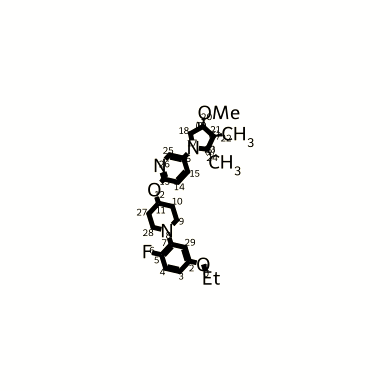 CCOc1ccc(F)c(N2CCC(Oc3ccc(N4C[C@H](OC)[C@@H](C)[C@@H]4C)cn3)CC2)c1